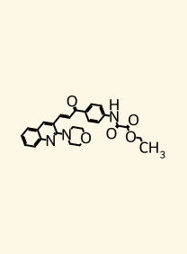 CCOC(=O)C(=O)Nc1ccc(C(=O)/C=C/c2cc3ccccc3nc2N2CCOCC2)cc1